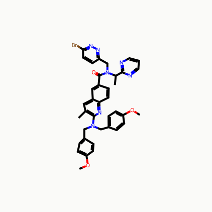 COc1ccc(CN(Cc2ccc(OC)cc2)c2nc3ccc(C(=O)N(Cc4ccc(Br)nn4)C(C)c4ncccn4)cc3cc2C)cc1